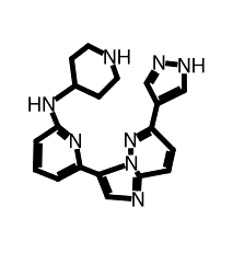 c1cc(NC2CCNCC2)nc(-c2cnc3ccc(-c4cn[nH]c4)nn23)c1